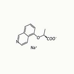 C[C@H](Oc1cccc2cnccc12)C(=O)[O-].[Na+]